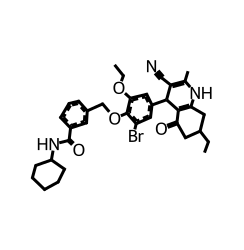 CCOc1cc(C2C(C#N)=C(C)NC3=C2C(=O)CC(CC)C3)cc(Br)c1OCc1cccc(C(=O)NC2CCCCC2)c1